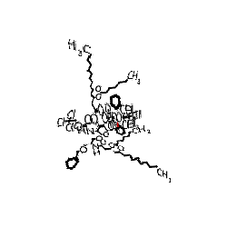 CCCCCCCCCCC[C@H](CC(=O)N[C@H](COCc1ccccc1)CO[C@H]1O[C@H](COC(=O)OC(C)(C)C(Cl)(Cl)Cl)[C@@H](OP(=O)(Oc2ccccc2)Oc2ccccc2)[C@H](OC(=O)C[C@@H](CCCCCCCCCCC)OC(=O)CCCCCC)[C@@H]1NC(=O)OCC(Cl)(Cl)Cl)OC(=O)CCCCCC